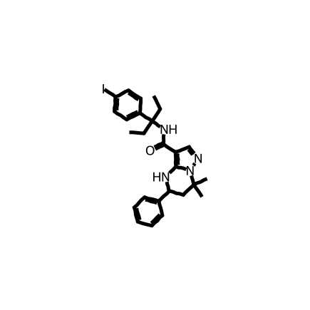 CCC(CC)(NC(=O)c1cnn2c1NC(c1ccccc1)CC2(C)C)c1ccc(I)cc1